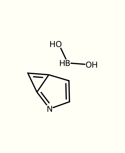 OBO.c1cc2cc-2n1